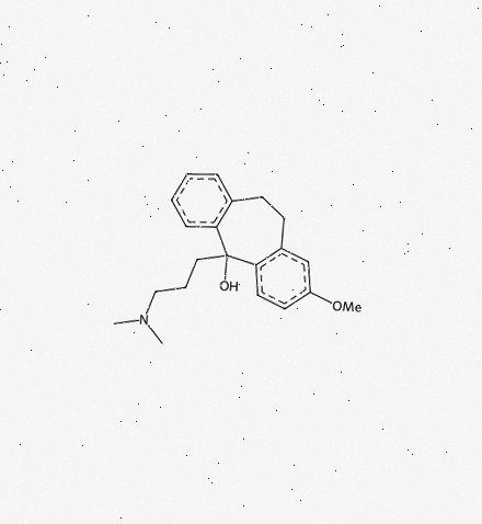 COc1ccc2c(c1)CCc1ccccc1C2(O)CCCN(C)C